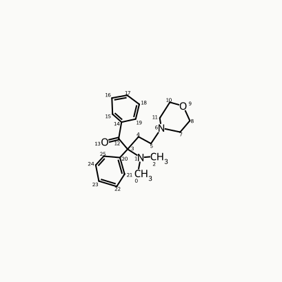 CN(C)C(CCN1CCOCC1)(C(=O)c1ccccc1)c1ccccc1